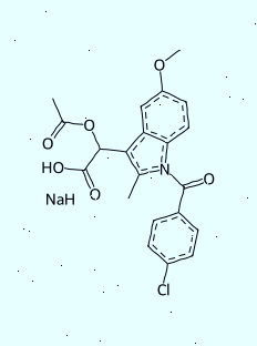 COc1ccc2c(c1)c(C(OC(C)=O)C(=O)O)c(C)n2C(=O)c1ccc(Cl)cc1.[NaH]